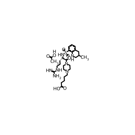 CC(=O)O.CC1CNc2c(cccc2S(=O)(=O)N[C@@H](CCCNC(=N)N)C(=O)N2CCN(CCCCC(=O)O)CC2)C1